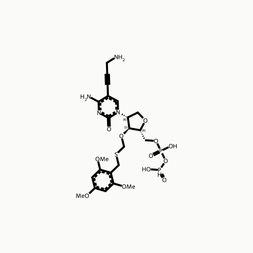 COc1cc(OC)c(CSCO[C@H]2[C@H](n3cc(C#CCN)c(N)nc3=O)CO[C@@H]2COP(=O)(O)O[PH](=O)O)c(OC)c1